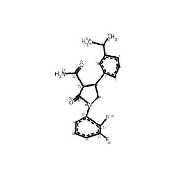 CC(C)c1cccc(C2CN(c3cccc(F)c3F)C(=O)C2C(N)=O)c1